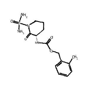 Cc1ccccc1COC(=O)N[C@H]1CCCN(P(N)(N)=O)C1=O